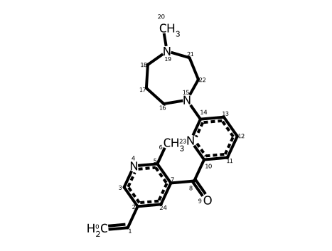 C=Cc1cnc(C)c(C(=O)c2cccc(N3CCCN(C)CC3)n2)c1